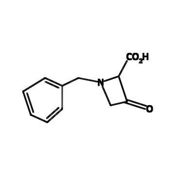 O=C(O)C1C(=O)CN1Cc1ccccc1